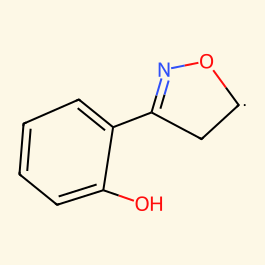 Oc1ccccc1C1=NO[CH]C1